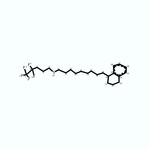 FC(F)(F)C(F)(F)CCCSCCCCCCCCCC1CCCc2ccccc21